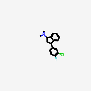 CN(C)C1CC(c2ccc(F)c(Cl)c2)c2ccccc21